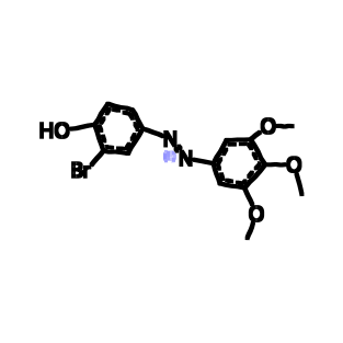 COc1cc(/N=N/c2ccc(O)c(Br)c2)cc(OC)c1OC